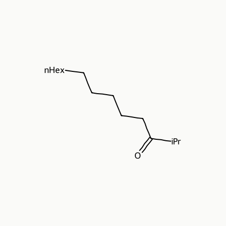 [CH2]C(C)C(=O)CCCCCCCCCCC